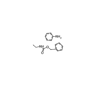 CCNC(=O)OCc1ccccc1.Nc1ccccc1